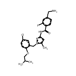 Cc1cc(NC(=O)c2ccc(CN)cc2F)nn1Cc1cc(Cl)ccc1OCC(C)C